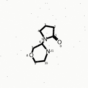 O=C1CCCN1C1COCC[N]1